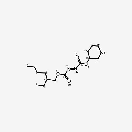 CCCCC(CC)COC(=O)/N=N/C(=O)OC1CCCCC1